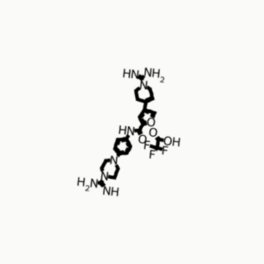 N=C(N)N1CC=C(c2coc(C(=O)Nc3ccc(N4CCN(C(=N)N)CC4)cc3)c2)CC1.O=C(O)C(F)(F)F